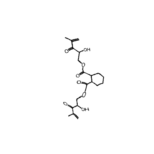 C=C(C)C(=O)C(O)COC(=O)C1CCCCC1C(=O)OCC(O)C(=O)C(=C)C